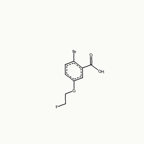 O=C(O)c1cc(OCCF)ccc1Br